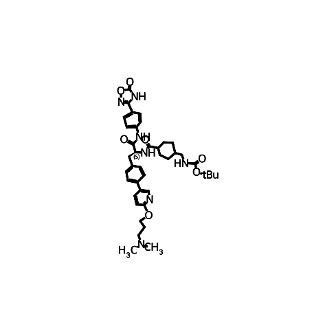 CN(C)CCCOc1ccc(-c2ccc(C[C@H](NC(=O)C3CCC(CNC(=O)OC(C)(C)C)CC3)C(=O)Nc3ccc(-c4noc(=O)[nH]4)cc3)cc2)cn1